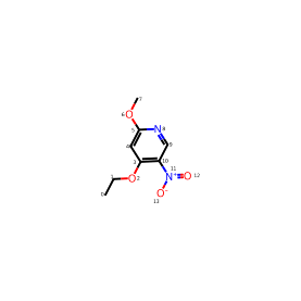 CCOc1cc(OC)ncc1[N+](=O)[O-]